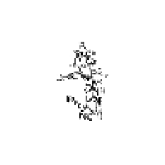 CC(C)Oc1cc(NC(=O)N2CCCc3cc(CN4CCCC4=O)c(C=O)nc32)ncc1C#N